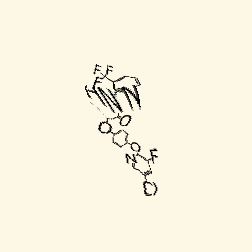 C[C@@H](Oc1ccc(Oc2ncc(Cl)cc2F)cc1)C(=O)Nc1ncccc1C(F)(F)F